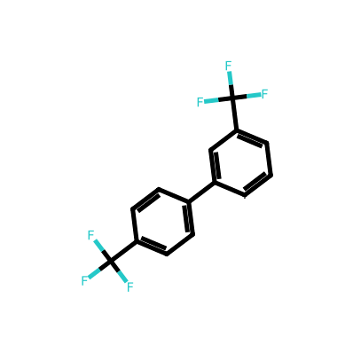 FC(F)(F)c1ccc(-c2[c]ccc(C(F)(F)F)c2)cc1